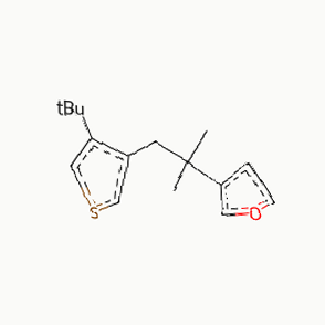 CC(C)(C)c1cscc1CC(C)(C)c1ccoc1